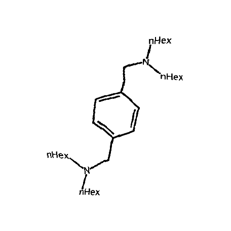 CCCCCCN(CCCCCC)Cc1ccc(CN(CCCCCC)CCCCCC)cc1